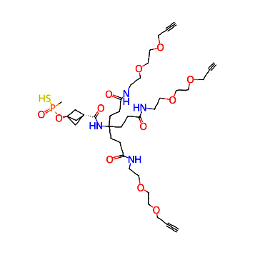 C#CCOCCOCCNC(=O)CCC(CCC(=O)NCCOCCOCC#C)(CCC(=O)NCCOCCOCC#C)NC(=O)[C@]12C[C@@](OP(C)(=O)S)(C1)C2